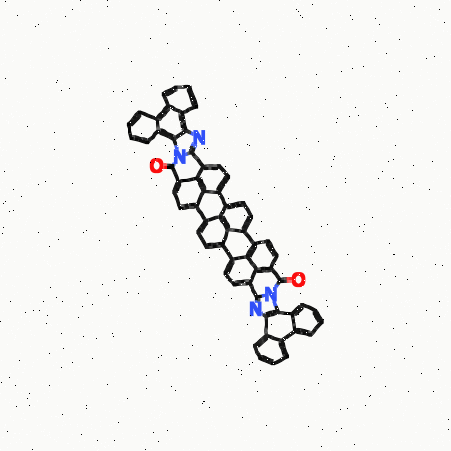 O=c1c2ccc3c4ccc5c6ccc7c8c(ccc(c9ccc(c%10ccc(c2c3%10)c2nc3c%10ccccc%10c%10ccccc%10c3n12)c4c95)c68)c(=O)n1c7nc2c3ccccc3c3ccccc3c21